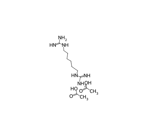 CC(=O)O.CC(=O)O.N=C(N)NCCCCCCNC(=N)N